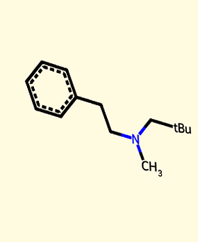 CN(CCc1ccccc1)CC(C)(C)C